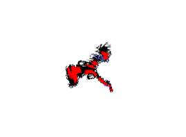 CCCCC/C=C\C/C=C\CCCCCCCCOC(=O)CCN(CCC(=O)OCCCCCCCC/C=C\C/C=C\CCCCC)CCN1CC(C)N(C)C(C)C1